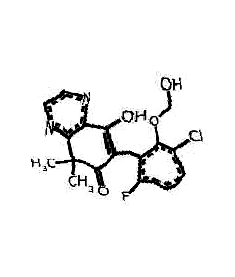 CC1(C)C(=O)C(c2c(F)ccc(Cl)c2OCO)=C(O)c2nccnc21